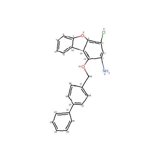 Nc1cc(Cl)c2oc3ccccc3c2c1OCc1ccc(-c2ccccc2)cc1